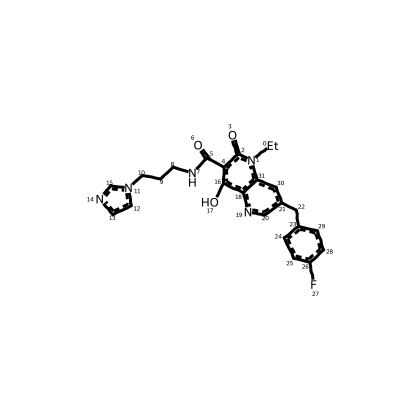 [CH2]Cn1c(=O)c(C(=O)NCCCn2ccnc2)c(O)c2ncc(Cc3ccc(F)cc3)cc21